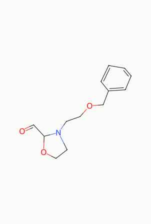 O=CC1OCCN1CCOCc1ccccc1